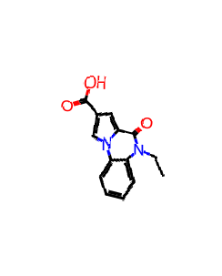 CCn1c(=O)c2cc(C(=O)O)cn2c2ccccc21